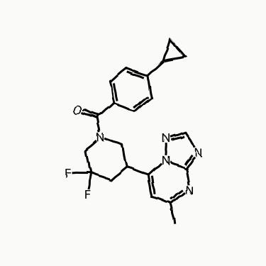 Cc1cc(C2CN(C(=O)c3ccc(C4CC4)cc3)CC(F)(F)C2)n2ncnc2n1